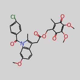 COC1=C(OC)C(=O)C(COC(=O)Cc2c(C)n(C(=O)c3ccc(Cl)cc3)c3cc(OC)ccc23)=C(C)C1=O